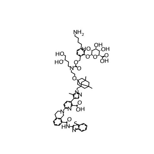 Cc1c(-c2ccc(N3CCc4cccc(C(=O)Nc5nc6ccccc6s5)c4C3)nc2C(=O)O)cnn1CC12CC3(C)CC(C)(C1)CC(OCCN(CC[C@H](O)CO)C(=O)OCc1ccc(CCCCN)cc1O[C@@H]1O[C@H](C(=O)O)[C@@H](O)[C@H](O)[C@H]1O)(C3)C2